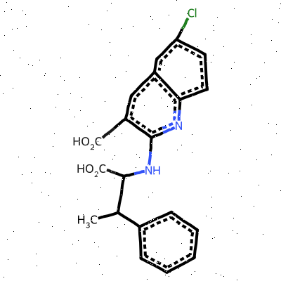 CC(c1ccccc1)C(Nc1nc2ccc(Cl)cc2cc1C(=O)O)C(=O)O